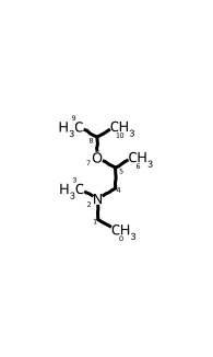 CCN(C)CC(C)OC(C)C